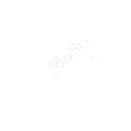 COc1cc2ncnc(Oc3ccc(Nc4nccc5[nH]cc(-c6ccc(F)cc6)c(=O)c45)cc3F)c2cc1OCCCN1CCN(C)CC1